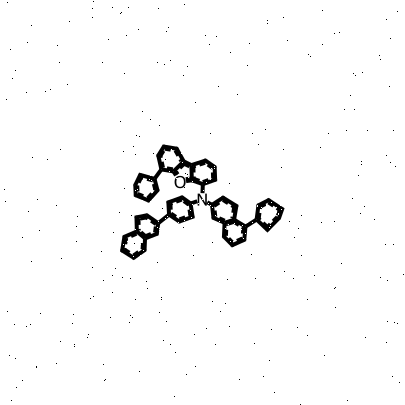 c1ccc(-c2cccc3cc(N(c4ccc(-c5ccc6ccccc6c5)cc4)c4cccc5c4oc4c(-c6ccccc6)cccc45)ccc23)cc1